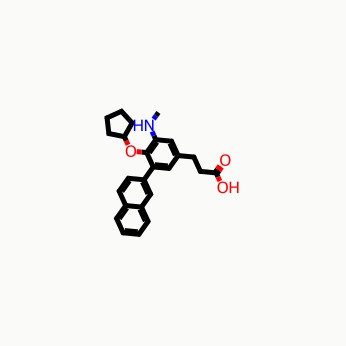 CNc1cc(CCC(=O)O)cc(-c2ccc3ccccc3c2)c1OC1CCCC1